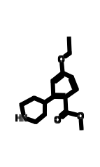 CCOc1ccc(C(=O)OC)c(C2CCNCC2)c1